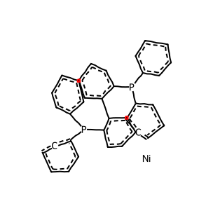 [Ni].c1ccc(P(c2ccccc2)c2ccccc2-c2ccccc2P(c2ccccc2)c2ccccc2)cc1